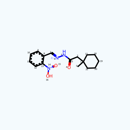 CC1(CC(=O)N/N=C/c2ccccc2[N+](=O)O)CCCCC1